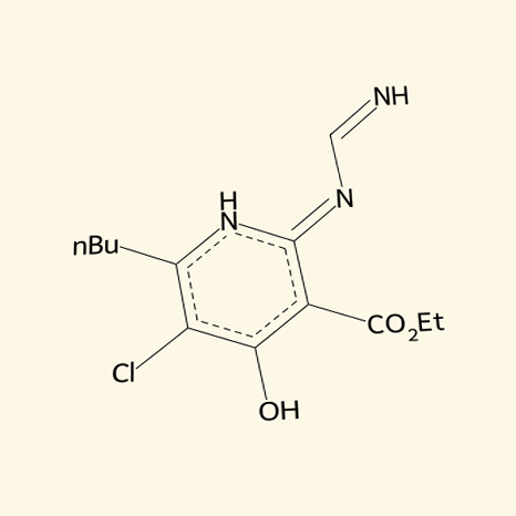 CCCCc1[nH]/c(=N\C=N)c(C(=O)OCC)c(O)c1Cl